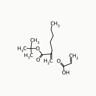 C=C(CCCCC)C(=O)OC(C)(C)C.C=CC(=O)O